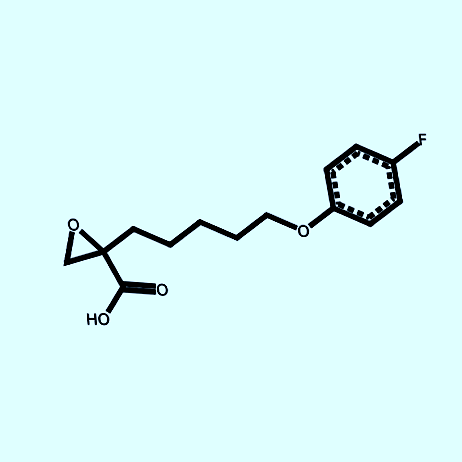 O=C(O)C1(CCCCCOc2ccc(F)cc2)CO1